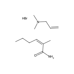 Br.C=CCN(C)C.CCCC=C(C)C(N)=O